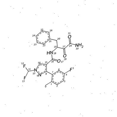 Cc1ccc(F)cc1-c1nn(C(F)F)cc1C(=O)NC(Cc1ccccc1)C(=O)C(N)=O